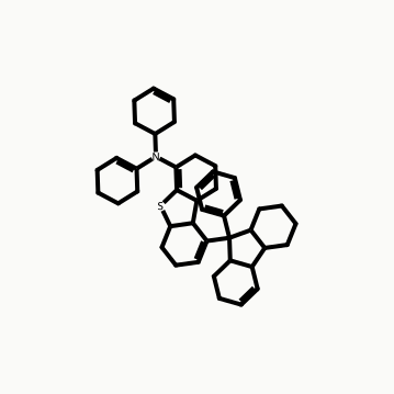 C1=CCC(N(C2=CCCCC2)C2=C3SC4CCC=C(C5(c6ccccc6)C6CCC=CC6C6CCCCC65)C4C3CCC2)CC1